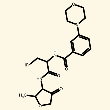 CC(C)CC(NC(=O)c1cccc(N2CCOCC2)c1)C(=O)NC1C(=O)COC1C